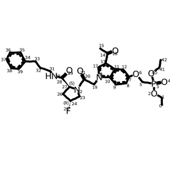 CCOP(=O)(COc1ccc2c(c1)c(C(C)=O)cn2CC(=O)N1C[C@H](F)C[C@H]1C(=O)NCCCc1ccccc1)OCC